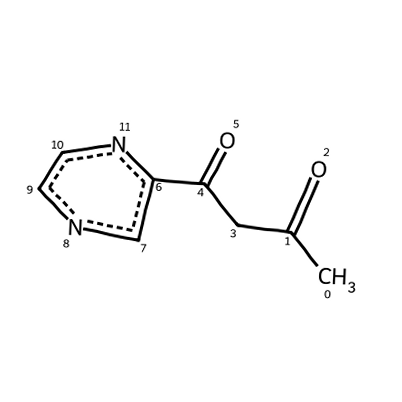 CC(=O)CC(=O)c1cnccn1